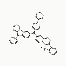 CC1(C)c2ccccc2-c2ccc3cc(N(c4ccc(-c5ccccc5)cc4)c4ccc5c(c4)c4ccccc4n5-c4ccccc4)ccc3c21